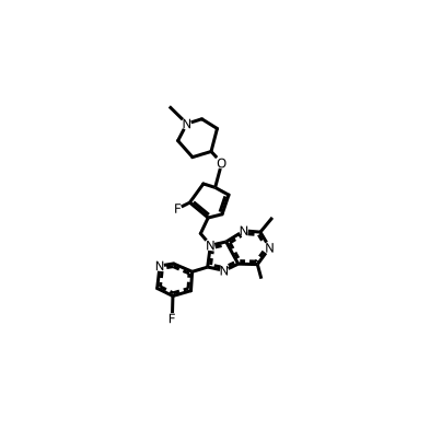 Cc1nc(C)c2nc(-c3cncc(F)c3)n(CC3=C(F)CC(OC4CCN(C)CC4)C=C3)c2n1